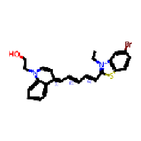 CC[n+]1c(/C=C/C=C/C=C2\C=CN(CCO)c3ccccc32)sc2ccc(Br)cc21